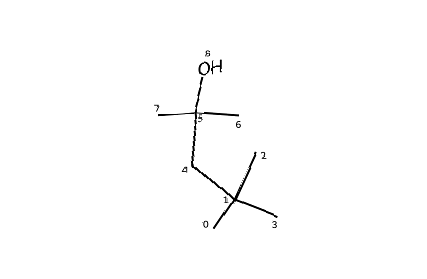 CC(C)(C)CC(C)(C)O